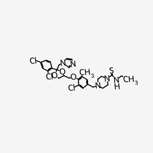 CCNC(=S)N1CCN(Cc2cc(C)c(OCC3COC(Cn4ccnc4)(c4ccc(Cl)cc4Cl)O3)c(Cl)c2)CC1